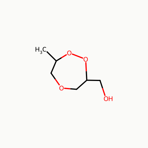 CC1COCC(CO)OO1